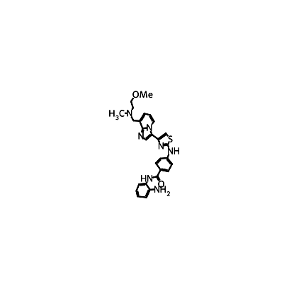 COCCN(C)Cc1cccn2c(-c3csc(Nc4ccc(C(=O)Nc5ccccc5N)cc4)n3)cnc12